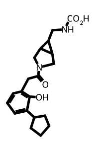 O=C(O)NCC1C2CN(C(=O)Cc3cccc(C4CCCC4)c3O)CC12